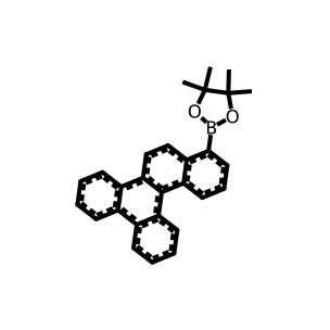 CC1(C)OB(c2cccc3c2ccc2c4ccccc4c4ccccc4c32)OC1(C)C